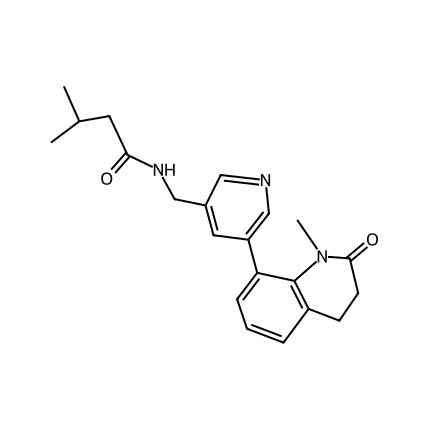 CC(C)CC(=O)NCc1cncc(-c2cccc3c2N(C)C(=O)CC3)c1